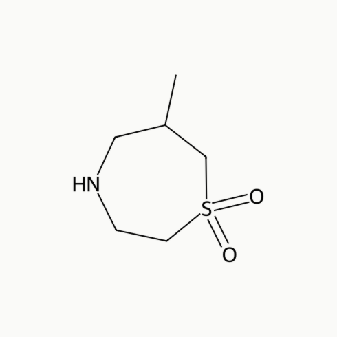 CC1CNCCS(=O)(=O)C1